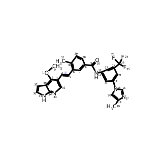 COc1c(/C=C/c2cc(C(=O)Nc3cc(-n4cnc(C)c4)cc(C(F)(F)F)c3)ccc2C)cnc2[nH]ccc12